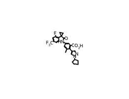 Cc1cc(NC(=O)C2(c3ccc(C(F)(F)F)cc3F)CC2)cc(C(=O)O)c1-c1cnn(C2CCCC2)c1